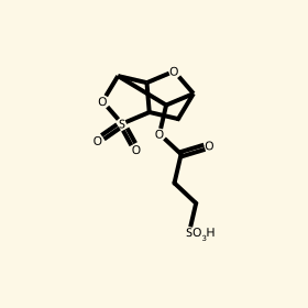 O=C(CCS(=O)(=O)O)OC1C2CC3C(O2)C1OS3(=O)=O